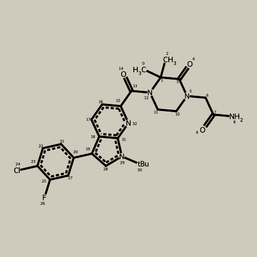 CC1(C)C(=O)N(CC(N)=O)CCN1C(=O)c1ccc2c(-c3ccc(Cl)c(F)c3)cn(C(C)(C)C)c2n1